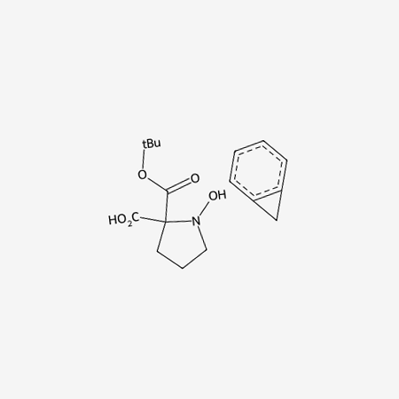 CC(C)(C)OC(=O)C1(C(=O)O)CCCN1O.c1ccc2c(c1)C2